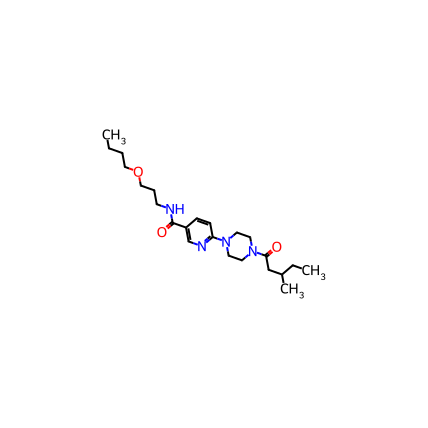 CCCCOCCCNC(=O)c1ccc(N2CCN(C(=O)CC(C)CC)CC2)nc1